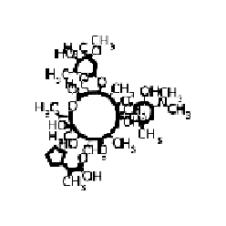 CC(C(=O)O)C1CCCC1.CC[C@H]1OC(=O)[C@H](C)[C@@H](O[C@H]2C[C@@](C)(OC)[C@@H](O)[C@H](C)O2)[C@H](C)[C@@H](O[C@@H]2O[C@H](C)C[C@H](N(C)C)[C@H]2O)[C@](C)(O)C[C@@H](C)C(=O)[C@H](C)[C@@H](O)[C@]1(C)O